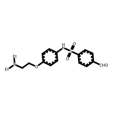 CCN(CC)CCOc1ccc(NS(=O)(=O)c2ccc(C=O)cc2)cc1